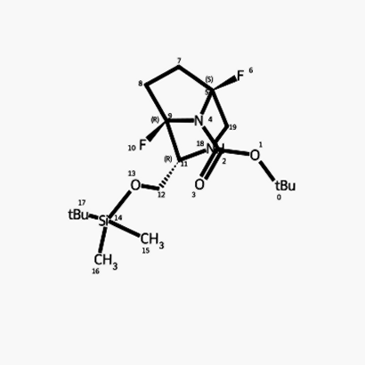 CC(C)(C)OC(=O)N1[C@]2(F)CC[C@@]1(F)[C@@H](CO[Si](C)(C)C(C)(C)C)NC2